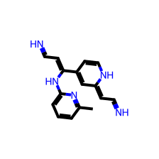 Cc1cccc(N/C(=C\C=N)C2=C/C(=C/C=N)NC=C2)n1